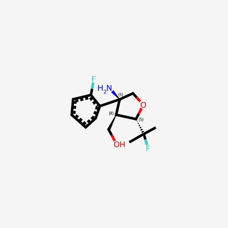 CC(C)(F)[C@H]1OC[C@@](N)(c2ccccc2F)[C@@H]1CO